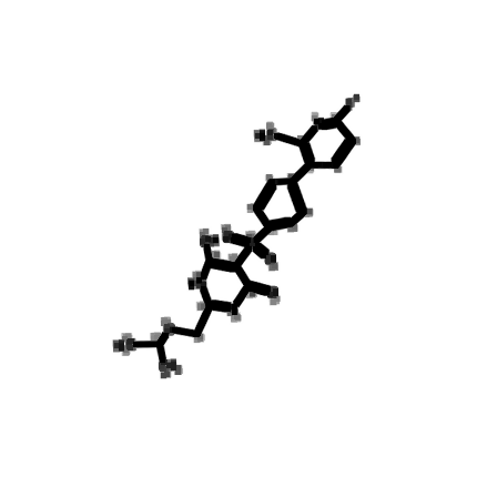 Cc1nc(F)ccc1-c1ccc(S(=O)(=O)c2c(O)[nH]c(COC(C)C)nc2=O)cc1